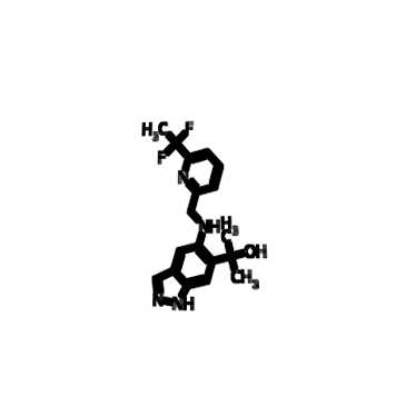 CC(C)(O)c1cc2[nH]ncc2cc1NCc1cccc(C(C)(F)F)n1